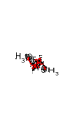 CN1CC(CCCN2CCC(C(OC(=O)C(=O)OC(c3ccc(F)cc3)(c3ccc(F)cc3)C3CCN(CCCC4CN(C)C(=O)O4)CC3)(c3ccc(F)cc3)c3ccc(F)cc3)CC2)OC1=O